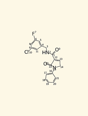 O=C(NCc1cc(F)cc(Cl)c1)C1=CCN(c2ccccc2)C1=O